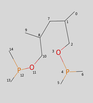 CC(COP(C)C)CC(C)COP(C)C